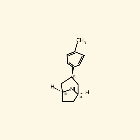 Cc1ccc([C@H]2C[C@H]3CC[C@@H](C2)N3)cc1